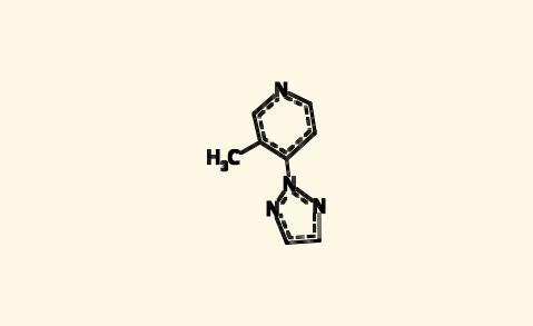 Cc1cnccc1-n1nccn1